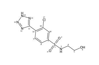 O=S(=O)(NCCO)c1ccc(-c2nn[nH]n2)c(Cl)c1